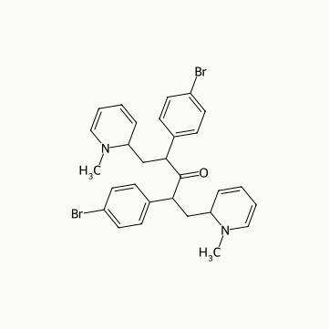 CN1C=CC=CC1CC(C(=O)C(CC1C=CC=CN1C)c1ccc(Br)cc1)c1ccc(Br)cc1